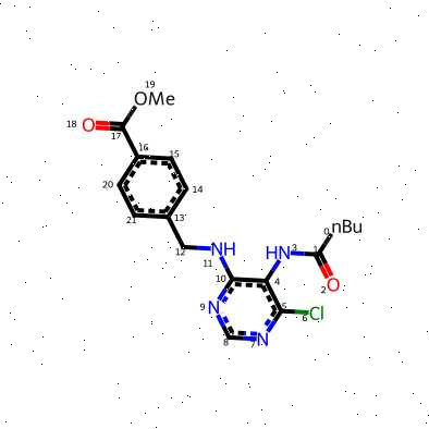 CCCCC(=O)Nc1c(Cl)ncnc1NCc1ccc(C(=O)OC)cc1